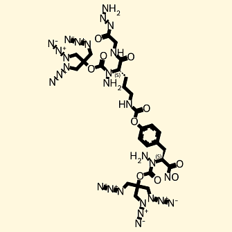 [N-]=[N+]=NCC(CN=[N+]=[N-])(CN=[N+]=[N-])OC(=O)N(N)[C@@H](Cc1ccc(OC(=O)NCCC[C@@H](C(=O)NCC(=O)N=NN)N(N)C(=O)OC(CN=[N+]=[N-])(CN=[N+]=[N-])CN=[N+]=[N-])cc1)C(=O)N=O